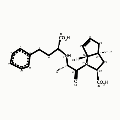 C[C@H](N[C@@H](CCc1ccccc1)C(=O)O)C(=O)N1[C@@H]2C=CC[C@H]2C[C@H]1C(=O)O